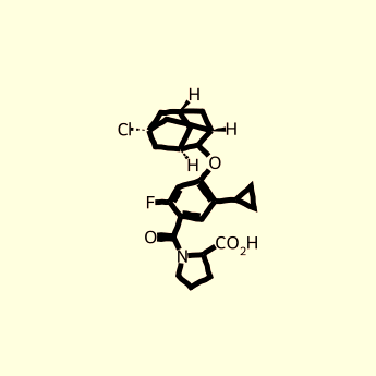 O=C(O)C1CCCN1C(=O)c1cc(C2CC2)c(OC2[C@@H]3C[C@H]4C[C@H]2C[C@](Cl)(C4)C3)cc1F